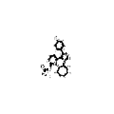 NC(=O)Oc1nccc(-c2c(-c3ccc(F)cc3)ncn2C2CCCCCC2)n1